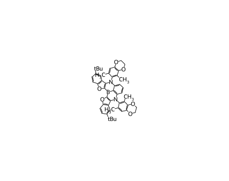 Cc1cc2c(c(C)c1N1c3cccc4c3B(c3oc5ccc(C(C)(C)C)cc5c31)c1oc3ccc(C(C)(C)C)cc3c1N4c1c(C)cc3c(c1C)OCCO3)OCCO2